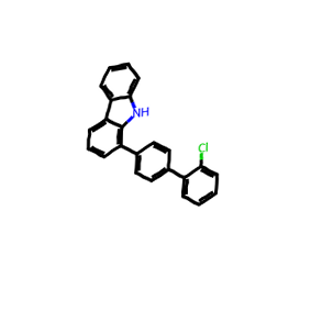 Clc1ccccc1-c1ccc(-c2cccc3c2[nH]c2ccccc23)cc1